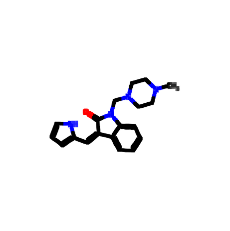 CN1CCN(CN2C(=O)C(=Cc3ccc[nH]3)c3ccccc32)CC1